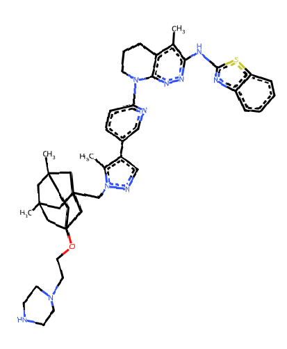 Cc1c(Nc2nc3ccccc3s2)nnc2c1CCCN2c1ccc(-c2cnn(CC34CC5(C)CC(C)(C3)CC(OCCN3CCNCC3)(C5)C4)c2C)cn1